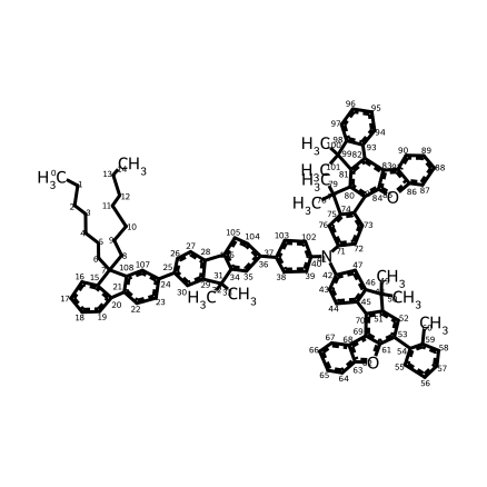 CCCCCCCC1(CCCCCCC)c2ccccc2-c2ccc(-c3ccc4c(c3)C(C)(C)c3cc(-c5ccc(N(c6ccc7c(c6)C(C)(C)c6cc(-c8ccccc8C)c8oc9ccccc9c8c6-7)c6ccc7c(c6)C(C)(C)c6c8c(c9c(oc%10ccccc%109)c6-7)-c6ccccc6C8(C)C)cc5)ccc3-4)cc21